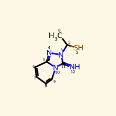 CC(S)n1nc2ccccn2c1=N